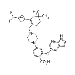 CC1(C)CCC(CN2CCN(c3ccc(C(=O)O)c(Oc4cnc5[nH]ccc5c4)c3)CC2)=C(C23CC(C(F)F)(C2)C3)C1